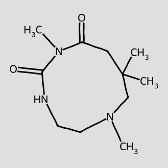 CN1CCNC(=O)N(C)C(=O)CC(C)(C)C1